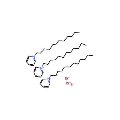 CCCCCCCCCCCC[n+]1ccccc1.CCCCCCCCCCCC[n+]1ccccc1.CCCCCCCCCCCC[n+]1ccccc1.[Br-].[Br-].[Br-]